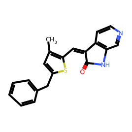 Cc1cc(Cc2ccccc2)sc1C=C1C(=O)Nc2cnccc21